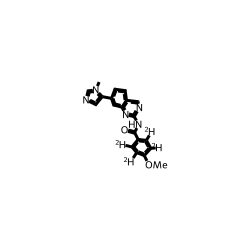 [2H]c1c([2H])c(C(=O)Nc2ncc3ccc(-c4cncn4C)cc3n2)c([2H])c([2H])c1OC